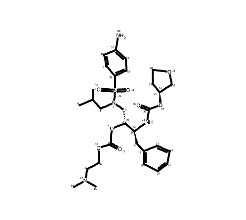 CC(C)CN(C[C@@H](OC(=O)OCCN(C)C)[C@H](Cc1ccccc1)NC(=O)O[C@H]1CCOC1)S(=O)(=O)c1ccc(N)cc1